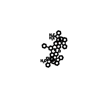 CC1(C)c2ccccc2-c2cc3c(cc21)-c1cc2c(cc1C31c3ccccc3-c3ccccc31)Oc1cc3c(cc1N2c1c(-c2ccc(-c4ccccc4)cc2)cc(-c2ccccc2)cc1-c1ccc(-c2ccccc2)cc1)-c1cc2c(cc1C31c3ccccc3-c3ccccc31)-c1ccccc1C2(C)C